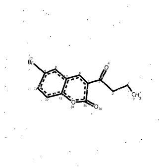 CCCC(=O)c1cc2cc(Br)ccc2oc1=O